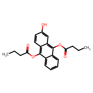 CCCC(=O)Oc1c2ccccc2c(OC(=O)CCC)c2cc(O)ccc12